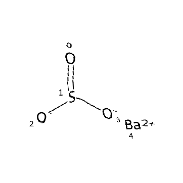 O=S([O-])[O-].[Ba+2]